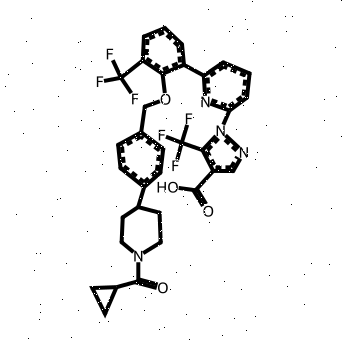 O=C(O)c1cnn(-c2cccc(-c3cccc(C(F)(F)F)c3OCc3ccc(C4CCN(C(=O)C5CC5)CC4)cc3)n2)c1C(F)(F)F